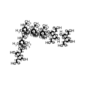 CC(=O)NC1CC(C)(C)N(O)C(C)(C)C1.CC(=O)NC1CC(C)(C)N(O)C(C)(C)C1.CC(=O)NC1CC(C)(C)N(O)C(C)(C)C1.CC(=O)NC1CC(C)(C)N(O)C(C)(C)C1.O=C(O)CN(CCN(CC(=O)O)CC(=O)O)CC(=O)O.O=C(O)CN(CCN(CC(=O)O)CC(=O)O)CC(=O)O.O=C(O)CN(CCN(CC(=O)O)CC(=O)O)CC(=O)O